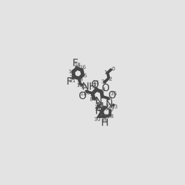 CCCCOc1c2n(cc(C(=O)NCc3ccc(F)cc3F)c1=O)N(C)[C@]1(CC[C@@H]3C[C@@H]31)N(C)C2=O